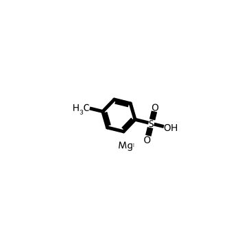 Cc1ccc(S(=O)(=O)O)cc1.[Mg]